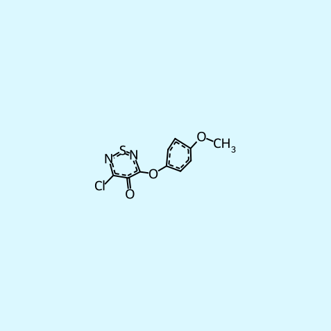 COc1ccc(Oc2nsnc(Cl)c2=O)cc1